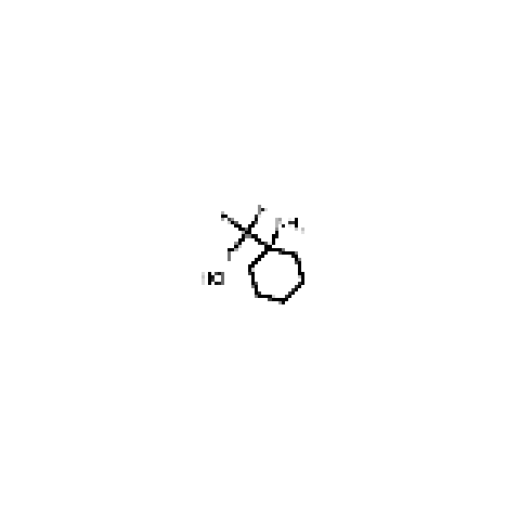 Cl.NC1(C(F)(F)F)CCCCC1